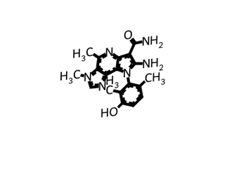 Cc1ccc(O)c(C)c1-n1c(N)c(C(N)=O)c2nc(C)c3c(ncn3C)c21